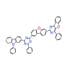 C1=Cc2c(n(-c3ccccc3)c3cc(-c4nc(-c5ccccc5)nc(-c5ccc6oc7cc(-c8nc(-c9ccccc9)c9oc%10ccccc%10c9n8)ccc7c6c5)n4)ccc23)CC1